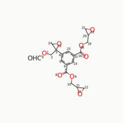 O=COCC1(c2cc(C(=O)OCC3CO3)cc(C(=O)OCC3CO3)c2)CO1